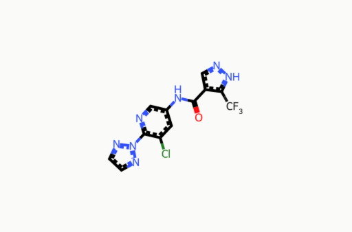 O=C(Nc1cnc(-n2nccn2)c(Cl)c1)c1cn[nH]c1C(F)(F)F